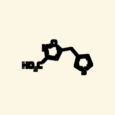 O=C(O)c1cc(Cc2ccsc2)on1